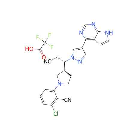 N#CC[C@@H]([C@H]1CCN(c2cccc(Cl)c2C#N)C1)n1cc(-c2ncnc3[nH]ccc23)cn1.O=C(O)C(F)(F)F